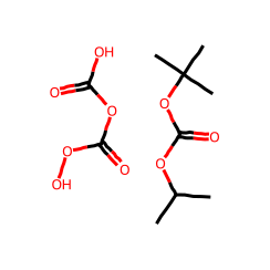 CC(C)OC(=O)OC(C)(C)C.O=C(O)OC(=O)OO